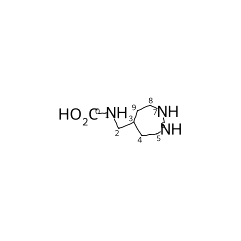 O=C(O)NCC1CCNNCC1